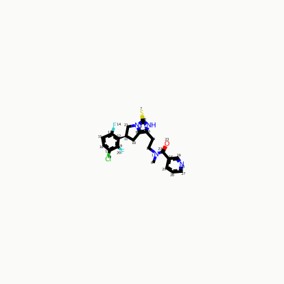 CN(CCc1[nH]c(=S)n2c1C[C@@H](c1c(F)ccc(Cl)c1F)C2)C(=O)c1cccnc1